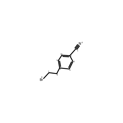 N#Cc1ccc([CH]CBr)cc1